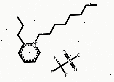 CCCCCCCC[n+]1ccccc1CCC.O=S(=O)([O-])C(F)(F)F